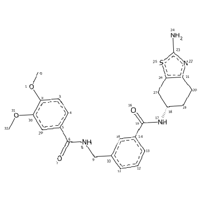 COc1ccc(C(=O)NCc2cccc(C(=O)N[C@H]3CCc4nc(N)sc4C3)c2)cc1OC